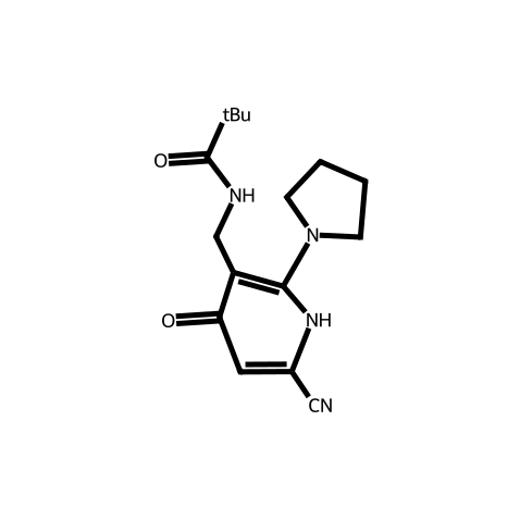 CC(C)(C)C(=O)NCc1c(N2CCCC2)[nH]c(C#N)cc1=O